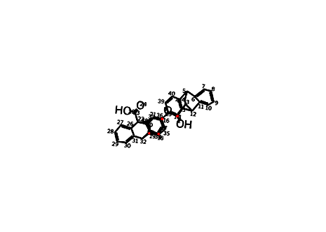 O=C(O)C1CC2c3ccccc3C1c1cc(-c3ccc4c(c3)C3(C(=O)O)c5ccccc5C4c4ccccc43)ccc12